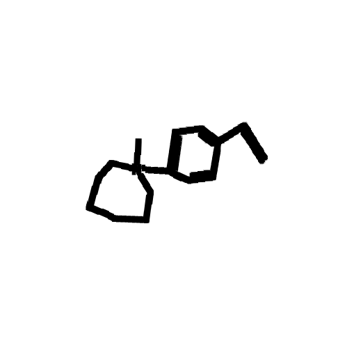 C=Cc1ccc([N+]2(C)CCCCCC2)cc1